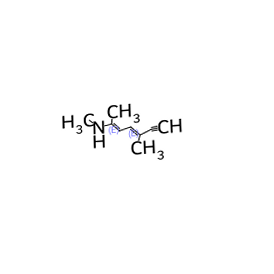 C#C/C(C)=C/C=C(\C)NC